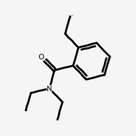 [CH2]Cc1ccccc1C(=O)N(CC)CC